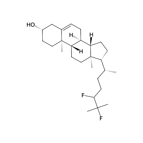 C[C@H](CCC(F)C(C)(C)F)[C@H]1CC[C@H]2[C@@H]3CC=C4C[C@@H](O)CC[C@]4(C)[C@H]3CC[C@]12C